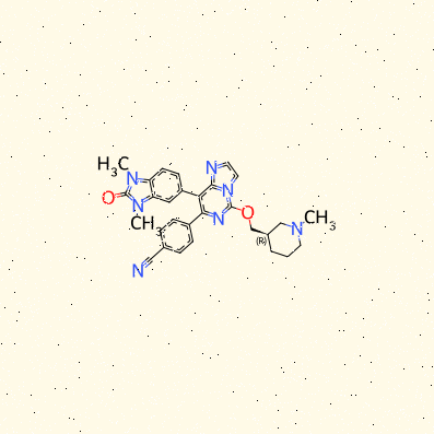 CN1CCC[C@@H](COc2nc(-c3ccc(C#N)cc3)c(-c3ccc4c(c3)n(C)c(=O)n4C)c3nccn23)C1